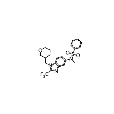 CN(c1ccc2c(c1)nc(C(F)(F)F)n2CC1CCCOC1)S(=O)(=O)c1ccccc1